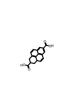 O=C(O)c1cc2c3c4c(ccc3c1)CC(C(=O)O)CC4C=C2